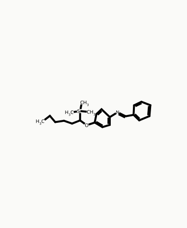 CCCCCC(Oc1ccc(N=Cc2ccccc2)cc1)[Si](C)(C)C